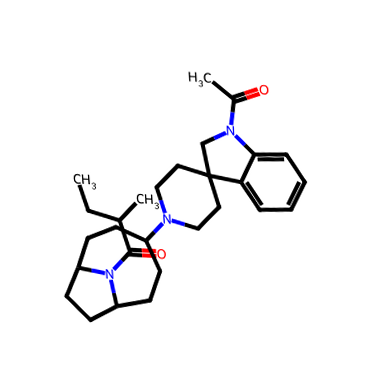 CCC(C)C(=O)N1C2CCC(N3CCC4(CC3)CN(C(C)=O)c3ccccc34)CCC1CC2